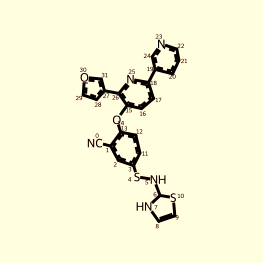 N#Cc1cc(SNC2NC=CS2)ccc1Oc1ccc(-c2cccnc2)nc1-c1ccoc1